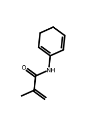 C=C(C)C(=O)NC1=CCCC=C1